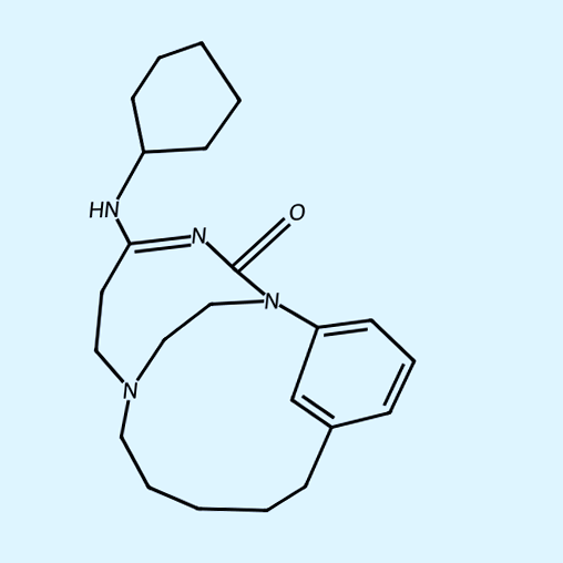 O=C1/N=C(/NC2CCCCC2)CCN2CCCCCc3cccc(c3)N1CC2